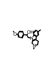 COc1ccc(C(O)Cn2c3c(c4cc(C)ccc42)CCN(C)C3)cc1